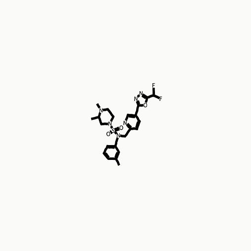 Cc1cccc(N(Cc2ccc(-c3nnc(C(F)F)o3)cn2)S(=O)(=O)N2CCN(C)C(C)C2)c1